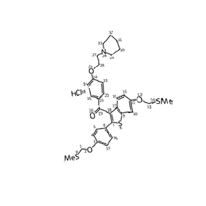 CSCOc1ccc(-c2sc3cc(OCSC)ccc3c2C(=O)c2ccc(OCCN3CCCCC3)cc2)cc1.Cl